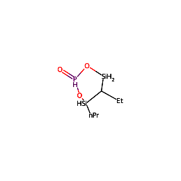 CCC[SiH]1O[PH](=O)O[SiH2]C1CC